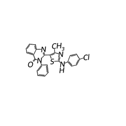 Cc1nc(Nc2ccc(Cl)cc2)sc1-c1nc2ccccc2c(=O)n1-c1ccccc1